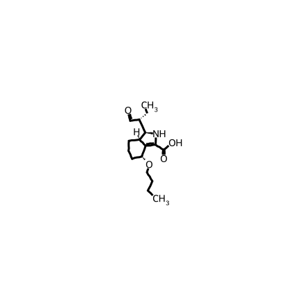 CCCCO[C@@H]1CCC[C@@H]2C1=C(C(=O)O)N[C@@H]2[C@H](C=O)CC